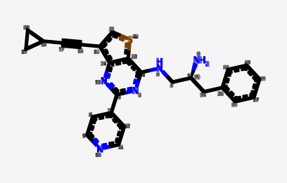 N[C@H](CNc1nc(-c2ccncc2)nc2c(C#CC3CC3)csc12)Cc1ccccc1